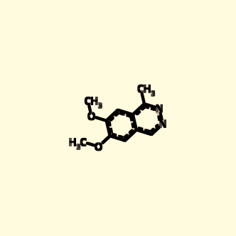 COc1cc2cnnc(C)c2cc1OC